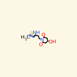 CN1C=C(CCN2C(=O)CC(O)CC2=O)NS1